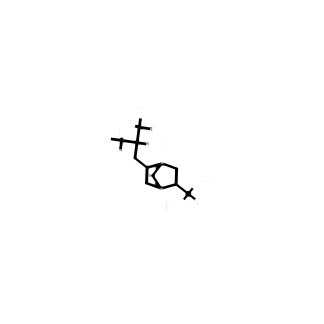 CC(C)(C)C1CC2CC1CC2CC(O)(C(F)(F)F)C(F)(F)F